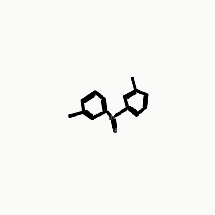 Cc1cccc([Se](=O)c2cccc(C)c2)c1